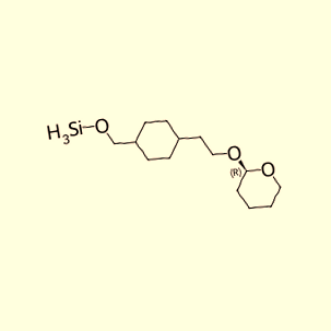 [SiH3]OCC1CCC(CCO[C@@H]2CCCCO2)CC1